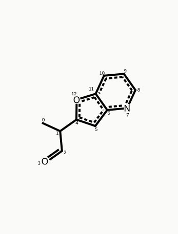 CC(C=O)c1cc2ncccc2o1